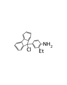 CCc1cc(C2(Cl)c3ccccc3-c3ccccc32)ccc1N